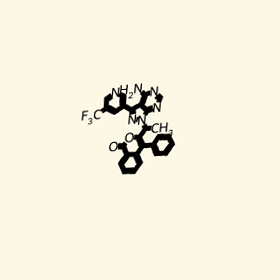 CC(c1oc(=O)c2ccccc2c1-c1ccccc1)n1nc(-c2cncc(C(F)(F)F)c2)c2c(N)ncnc21